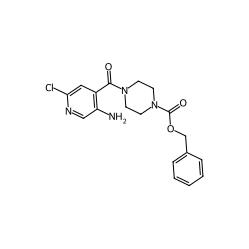 Nc1cnc(Cl)cc1C(=O)N1CCN(C(=O)OCc2ccccc2)CC1